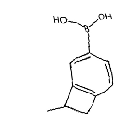 CC1Cc2ccc(B(O)O)cc21